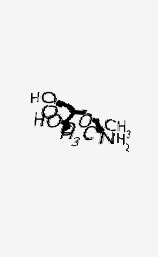 CC(C)(N)COCC(CC(=O)O)C(=O)O